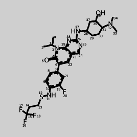 CC(C)n1c(=O)c(-c2ccc(NSCCC(F)(F)F)c(F)c2)cc2cnc(NC3CCC(N(C)C)C(O)C3)nc21